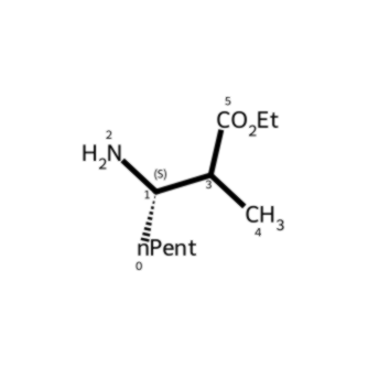 CCCCC[C@H](N)C(C)C(=O)OCC